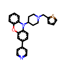 c1csc(CN2CCC(N3c4ccccc4Oc4cc(-c5ccncc5)ccc43)CC2)c1